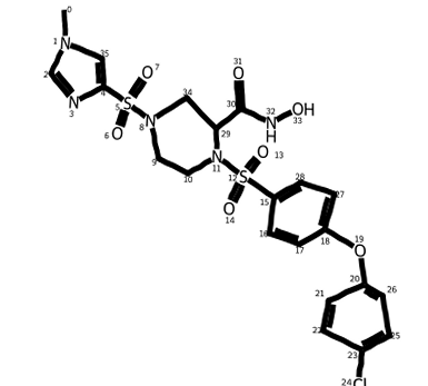 Cn1cnc(S(=O)(=O)N2CCN(S(=O)(=O)c3ccc(Oc4ccc(Cl)cc4)cc3)C(C(=O)NO)C2)c1